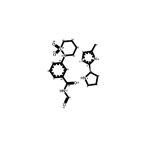 Cc1csc([C@H]2CCCN2)n1.O=CNC(=O)c1cccc(N2CCCCS2(=O)=O)c1